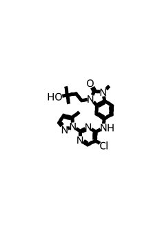 Cc1ccnn1-c1ncc(Cl)c(Nc2ccc3c(c2)n(CCC(C)(C)O)c(=O)n3C)n1